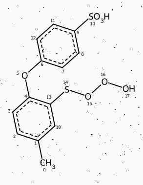 Cc1ccc(Oc2ccc(S(=O)(=O)O)cc2)c(SOOO)c1